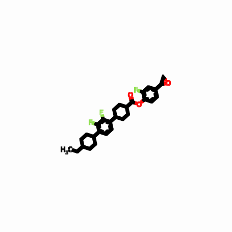 CCC1CCC(c2ccc(C3CCC(C(=O)Oc4ccc(C5CO5)cc4F)CC3)c(F)c2F)CC1